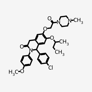 CCC(C)Oc1cc2c(cc1OCC(=O)N1CCN(C)CC1)CC(=O)N(c1ccc(OC)cc1)C2c1ccc(Cl)cc1